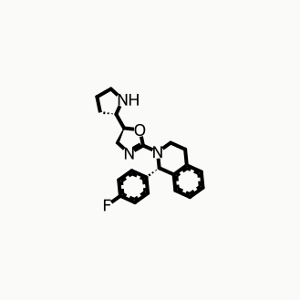 Fc1ccc([C@H]2c3ccccc3CCN2C2=NC[C@@H]([C@@H]3CCCN3)O2)cc1